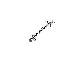 CC(C)(C)OC(=O)NCCOCCOCCNC(=O)CBr